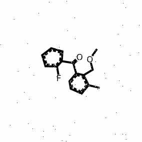 COCc1c(C)cccc1C(=O)c1ccccc1F